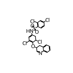 O=S(=O)(NC1=CC(Cl)=C(OC2C=Nc3ccccc3C2)C(Cl)C1)c1ccc(Cl)cc1Cl